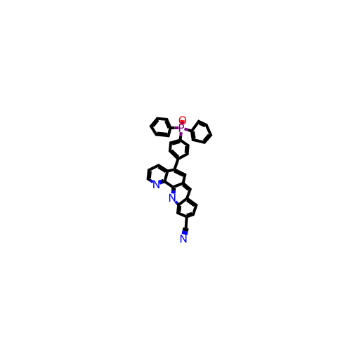 N#Cc1ccc2cc3cc(-c4ccc(P(=O)(c5ccccc5)c5ccccc5)cc4)c4cccnc4c3nc2c1